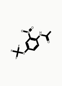 CC(=O)Nc1ccc(SC(F)(F)F)cc1[N+](=O)[O-]